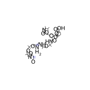 CC(C)C(C)N(C)C(=O)OCc1ccc(O[C@H]2CCC[C@@H](C(=O)O)O2)c(C(=O)NCC(C)(C)COCC(C)(C)CN/C=C(\N)COCC(C)(C)COCC(C)(C)CN(C)C(=O)/C=C\C=O)c1